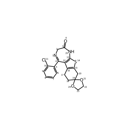 O=C1CN=C(c2ccccc2Cl)c2c(sc3c2CCC2(C3)OCCO2)N1